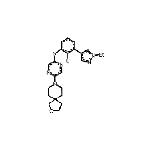 CCn1cc(-c2cccc(Sc3cnc(N4CCC5(CCOC5)CC4)cn3)c2Cl)cn1